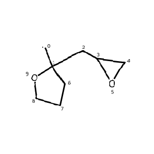 [CH2]C1(CC2CO2)CCCO1